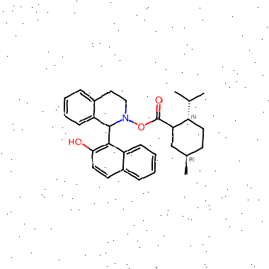 CC(C)[C@@H]1CC[C@@H](C)CC1C(=O)ON1CCc2ccccc2C1c1c(O)ccc2ccccc12